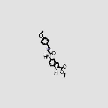 CCOC(=O)c1cc2cc(NC(=O)/C=C/c3ccc(OC)cc3)ccc2[nH]1